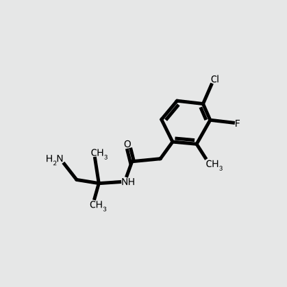 Cc1c(CC(=O)NC(C)(C)CN)ccc(Cl)c1F